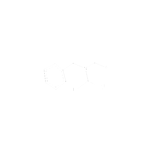 CCOC(=O)C(CC)N(CC(C)=O)Cc1ccccc1